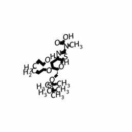 C=CCO[C@@H]1[C@H]2N=C(N(C)C(=O)O)S[C@H]2O[C@H](CO[Si](C)(C)C(C)(C)C)[C@H]1OCC=C